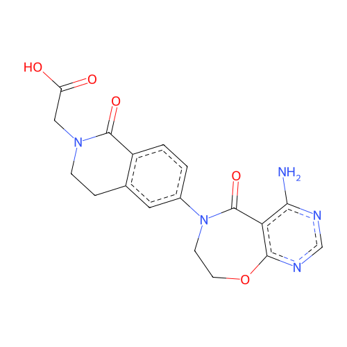 Nc1ncnc2c1C(=O)N(c1ccc3c(c1)CCN(CC(=O)O)C3=O)CCO2